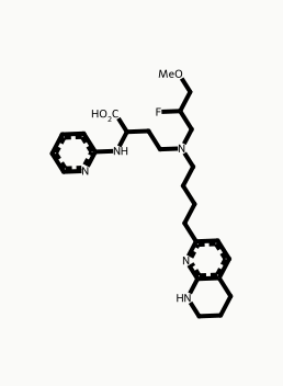 COCC(F)CN(CCCCc1ccc2c(n1)NCCC2)CCC(Nc1ccccn1)C(=O)O